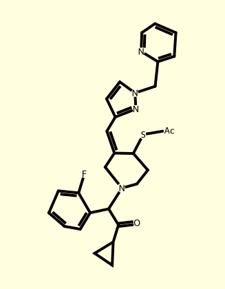 CC(=O)SC1CCN(C(C(=O)C2CC2)c2ccccc2F)C/C1=C/c1ccn(Cc2ccccn2)n1